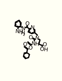 Nc1ccccc1NC(=O)c1ccc(CN(CCC(=O)O)C(=O)NC2=COC=C(C3=CC=CCC3)O2)cn1